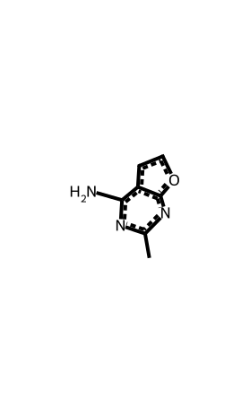 Cc1nc(N)c2ccoc2n1